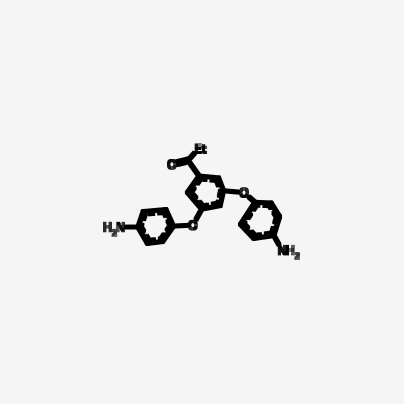 CCC(=O)c1cc(Oc2ccc(N)cc2)cc(Oc2ccc(N)cc2)c1